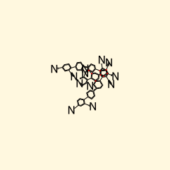 N#Cc1ccc(-c2ccc3c4ccc(-c5ccc(C#N)cc5C#N)cc4n(-c4cncc(-n5c6cc(-c7ccc(C#N)cc7C#N)ccc6c6ccc(-c7ccc(C#N)cc7C#N)cc65)c4-c4ccccc4C#N)c3c2)c(C#N)c1